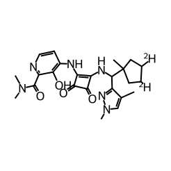 [2H]C1CC(C)(C(Nc2c(Nc3ccnc(C(=O)N(C)C)c3O)c(=O)c2=O)c2nn(C)cc2C)CC1[2H]